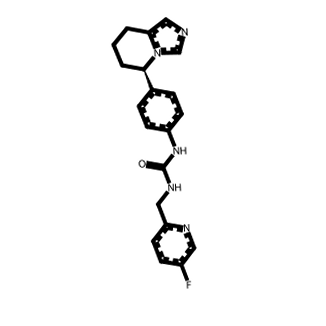 O=C(NCc1ccc(F)cn1)Nc1ccc([C@H]2CCCc3cncn32)cc1